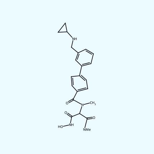 CNC(=O)C(C(=O)NO)N(C)C(=O)c1ccc(-c2cccc(CNC3CC3)c2)cc1